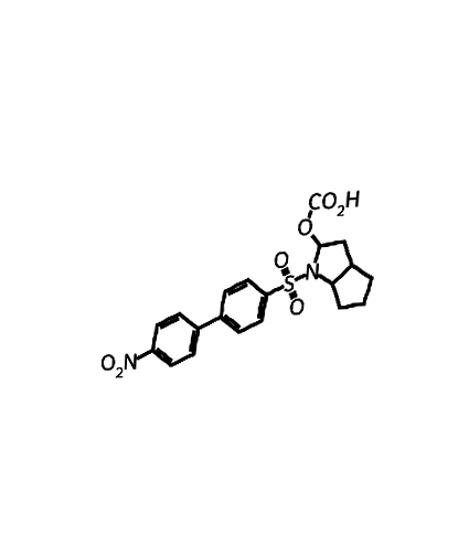 O=C(O)OC1CC2CCCC2N1S(=O)(=O)c1ccc(-c2ccc([N+](=O)[O-])cc2)cc1